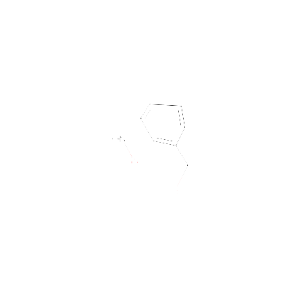 O=[NH+][O-].[O]Cc1ccccc1